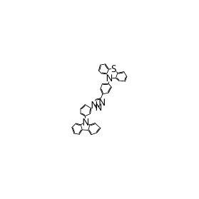 c1cc(-n2cc(-c3ccc(N4c5ccccc5Sc5ccccc54)cc3)nn2)cc(-n2c3ccccc3c3ccccc32)c1